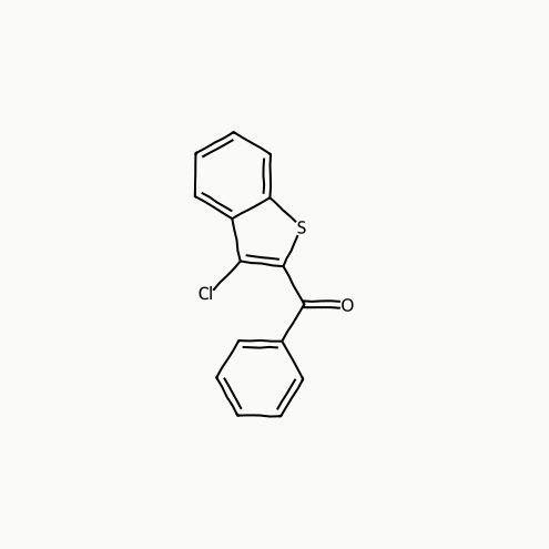 O=C(c1ccccc1)c1sc2ccccc2c1Cl